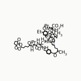 CCc1cc(C[C@@H](NC(=O)/C=C/CC[C@H](C)C2OC2c2ccc(CNC(=O)[C@H](C)NC(=O)[C@@H](NC(=O)CCCC(=O)ON3C(=O)CCC3=O)C(C)C)cc2)C(=O)NC2(C(C)(C)C(=O)N[C@@H](CC(C)C)C(=O)O)CC2)ccc1OC